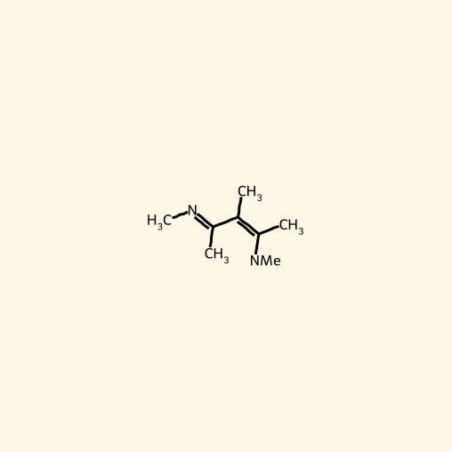 C/N=C(C)/C(C)=C(/C)NC